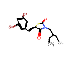 CCC(CC)CN1C(=O)S/C(=C\c2cc(Br)cc(Br)c2)C1=O